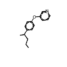 CCCC(C)c1ccc(Oc2cccnc2)cc1